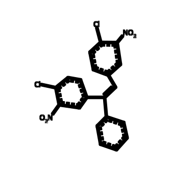 O=[N+]([O-])c1cc(C=C(c2ccccc2)c2ccc(Cl)c([N+](=O)[O-])c2)ccc1Cl